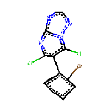 Clc1nc2ncnn2c(Cl)c1-c1ccccc1Br